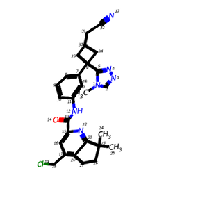 Cn1cnnc1C1(c2cccc(NC(=O)c3cc(CCl)c4c(n3)C(C)(C)CC4)c2)CC(CC#N)C1